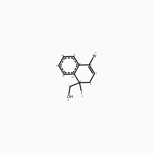 OCC1(I)CC=C(Br)c2ccccc21